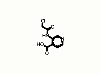 O=C(CCl)Nc1cnccc1C(=O)O